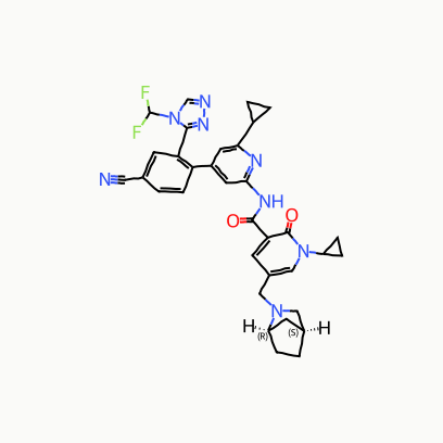 N#Cc1ccc(-c2cc(NC(=O)c3cc(CN4C[C@H]5CC[C@@H]4C5)cn(C4CC4)c3=O)nc(C3CC3)c2)c(-c2nncn2C(F)F)c1